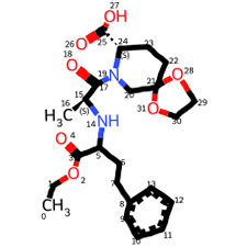 CCOC(=O)C(CCc1ccccc1)N[C@@H](C)C(=O)N1CC2(CC[C@H]1C(=O)O)OCCO2